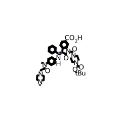 CN1CCN(CC(=O)N(C)c2ccc(N/C(=C3\C(=O)N(C(=O)N4CCN(C(=O)OC(C)(C)C)CC4)c4cc(C(=O)O)ccc43)c3ccccc3)cc2)CC1